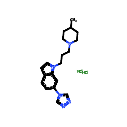 CC1CCN(CCCn2ccc3ccc(-n4cnnc4)cc32)CC1.Cl.Cl